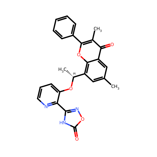 Cc1cc([C@@H](C)Oc2cccnc2-c2noc(=O)[nH]2)c2oc(-c3ccccc3)c(C)c(=O)c2c1